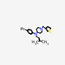 CC(C)=CCN(c1ccc(C(C)C)cc1)C1CCN(Cc2ccsc2)CC1